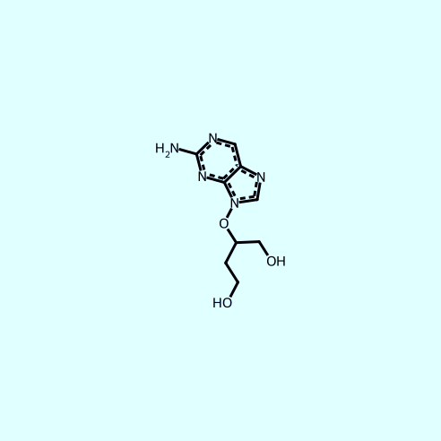 Nc1ncc2ncn(OC(CO)CCO)c2n1